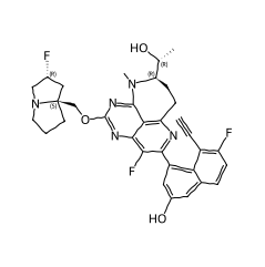 C#Cc1c(F)ccc2cc(O)cc(-c3nc4c5c(nc(OC[C@@]67CCCN6C[C@H](F)C7)nc5c3F)N(C)[C@@H]([C@@H](C)O)CC4)c12